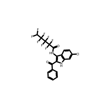 O=C(c1ccccc1)c1[nH]c2cc(Cl)ccc2c1NC(=O)C(F)(F)C(F)(F)C(F)(F)C(F)F